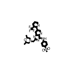 CC1CN(Cc2nc(Nc3ccc(S(C)(=O)=O)cc3)c3ncc(-c4ncccc4C(F)(F)F)cc3n2)CC(C)O1